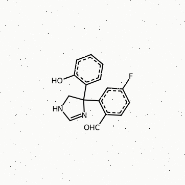 O=Cc1ccc(F)cc1C1(c2ccccc2O)CNC=N1